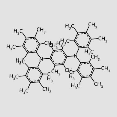 Cc1c(C)c(C)c(N(c2c(C)c(C)c(C)c(C)c2C)c2c(C)c(C)c(N(c3c(C)c(C)c(C)c(C)c3C)c3c(C)c(C)c(C)c(C)c3C)c(C)c2C)c(C)c1C